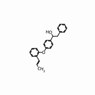 CC=Cc1ccccc1Oc1ccc(C(O)Cc2ccccc2)cc1